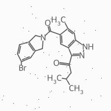 Cc1cc2[nH]nc(C(=O)CC(C)C)c2cc1C(=O)N1Cc2ccc(Br)cc2C1